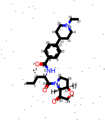 CC[C@H](C)[C@H](NC(=O)c1ccc(C2CCN(CC)CC2)cc1)C(=O)N1CC[C@H]2OCC(=O)[C@H]21